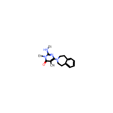 CCNc1nc(N2CCc3ccccc3CC2)c(C#N)c(=O)n1CC